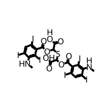 CNc1c(I)cc(I)c(C(=O)OC(SC(OC(=O)c2c(I)cc(I)c(NC)c2I)C(=O)O)C(=O)O)c1I